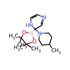 CC1CCN(C2(B3OC(C)(C)C(C)(C)O3)C=NC=CN2)CC1